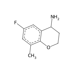 Cc1cc(F)cc2c1OCCC2N